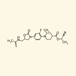 CC(=S)NCC1CN(c2ccc(N3CCC(C(=O)OC(C)C#N)CC3C)c(F)c2)C(=O)O1